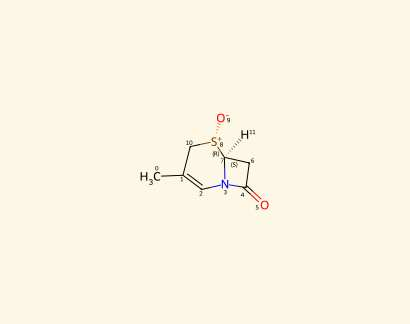 CC1=CN2C(=O)C[C@@H]2[S@@+]([O-])C1